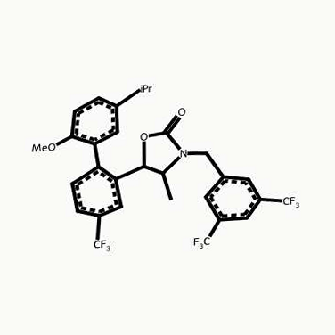 COc1ccc(C(C)C)cc1-c1ccc(C(F)(F)F)cc1C1OC(=O)N(Cc2cc(C(F)(F)F)cc(C(F)(F)F)c2)C1C